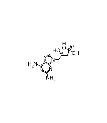 Nc1nc(N)c2ncn(C[C@@H](O)CP(=O)(O)O)c2n1